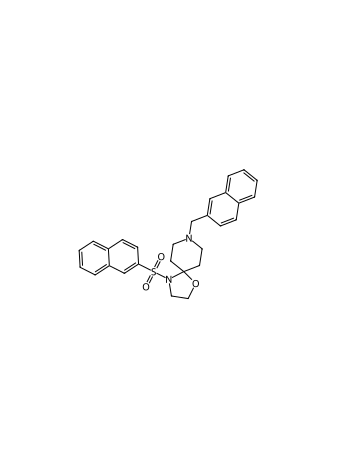 O=S(=O)(c1ccc2ccccc2c1)N1CCOC12CCN(Cc1ccc3ccccc3c1)CC2